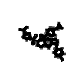 CC(C)n1ncc(S(=O)(=O)[C@H]2CCC3=Cc4c(cnn4-c4ccc(F)cc4)C[C@]3(C(=O)c3ccc(C4CC4)cn3)C2)n1